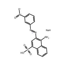 Nc1c(/N=N/c2cccc([N+](=O)[O-])c2)cc(S(=O)(=O)O)c2ccccc12.[NaH]